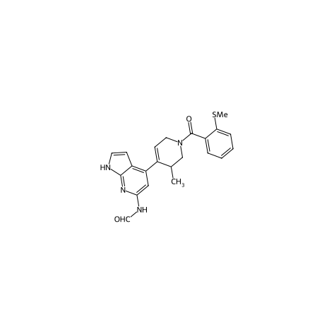 CSc1ccccc1C(=O)N1CC=C(c2cc(NC=O)nc3[nH]ccc23)C(C)C1